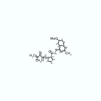 COc1ccc2nc(C)nc(SCC(=O)C3=CC=C[SH]3CNC(=O)N(C)C)c2c1